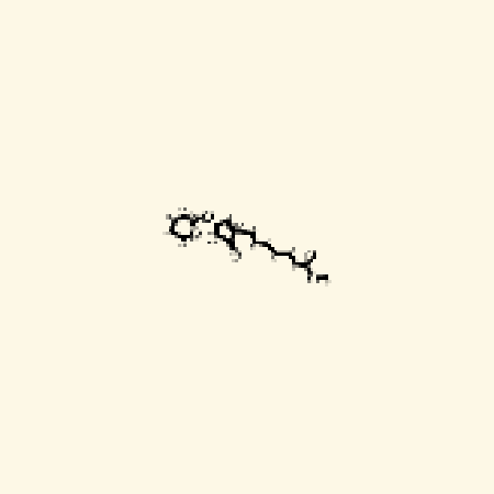 COC(=O)CCCCCCC1=C[C@@H](OC2CCCCO2)CC1=O